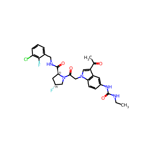 CCNC(=O)Nc1ccc2c(c1)c(C(C)=O)cn2CC(=O)N1C[C@H](F)C[C@H]1C(=O)NCc1cccc(Cl)c1F